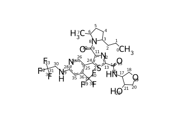 CCCC1CCC(C)N1C(=O)c1nc(C(=O)NC2COCC2O)sc1-c1cnc(NCC(F)(F)F)cc1C(F)(F)F